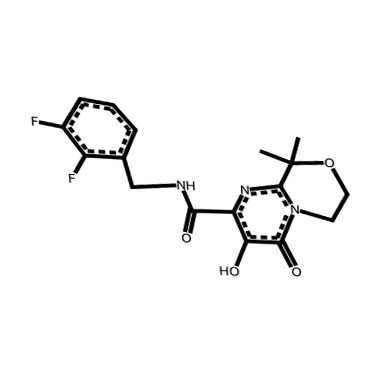 CC1(C)OCCn2c1nc(C(=O)NCc1cccc(F)c1F)c(O)c2=O